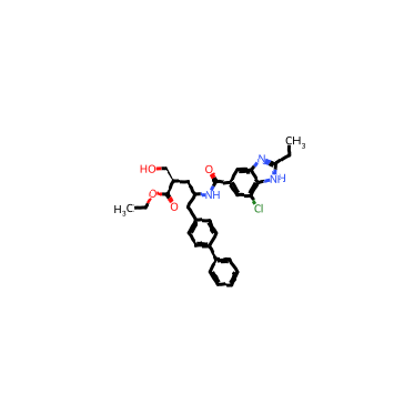 CCOC(=O)[C@@H](CO)CC(Cc1ccc(-c2ccccc2)cc1)NC(=O)c1cc(Cl)c2[nH]c(CC)nc2c1